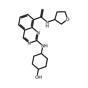 C=C(NC1CCOC1)c1cccc2cnc(NC3CCC(O)CC3)nc12